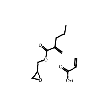 C=C(CCC)C(=O)OCC1CO1.C=CC(=O)O